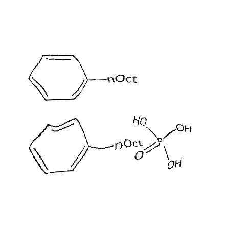 CCCCCCCCc1ccccc1.CCCCCCCCc1ccccc1.O=P(O)(O)O